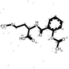 CSCCC(NC(=O)c1ccccc1OC(C)=O)C(=O)O